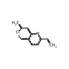 C=Cc1ccc(=C/I)/c(=C\C(=C)Cl)n1